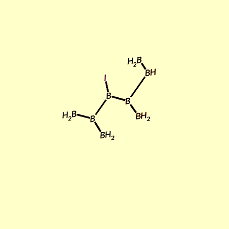 BBB(B)B(I)B(B)B